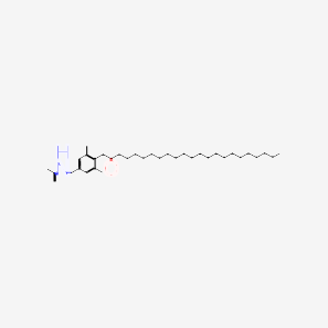 C=C(C)NCc1cc(C)c(CC(=O)CCCCCCCCCCCCCCCCCCCCC)c(C)c1